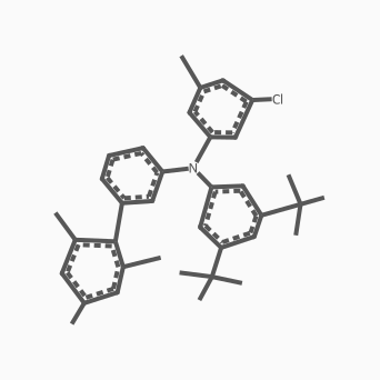 Cc1cc(Cl)cc(N(c2cccc(-c3c(C)cc(C)cc3C)c2)c2cc(C(C)(C)C)cc(C(C)(C)C)c2)c1